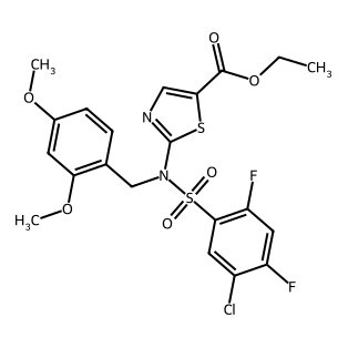 CCOC(=O)c1cnc(N(Cc2ccc(OC)cc2OC)S(=O)(=O)c2cc(Cl)c(F)cc2F)s1